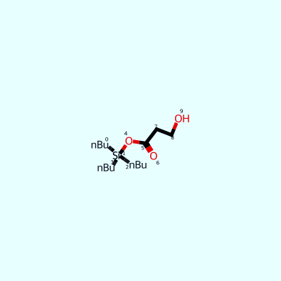 CCCC[Si](CCCC)(CCCC)OC(=O)CCO